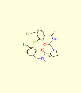 CC(NC(=O)N1CCC[C@@H]1C(=O)N(C)Cc1ccc(Cl)cc1)c1ccc(Cl)c(F)c1